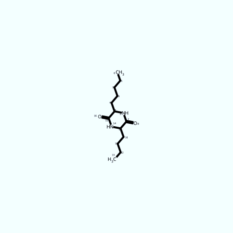 CCCCCC1NC(=O)C(CCCC)NC1=O